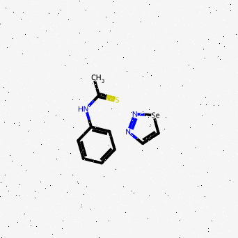 CC(=S)Nc1ccccc1.c1c[se]nn1